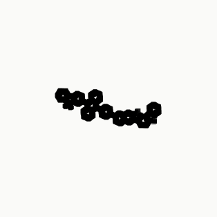 CC1(C)c2ccccc2-c2ccc(-c3c4ccccc4c(-c4ccc(-c5ccc6cc7c(cc6c5)sc5c7ccc6sc7ccccc7c65)cc4)c4ccccc34)cc21